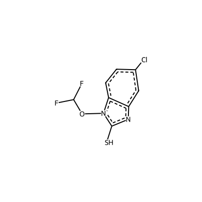 FC(F)On1c(S)nc2cc(Cl)ccc21